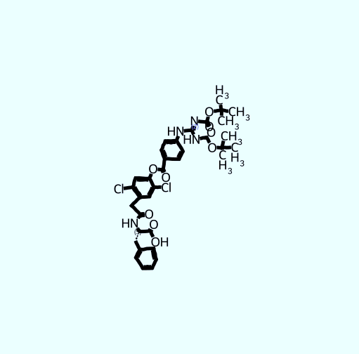 CC(C)(C)OC(=O)/N=C(\NC(=O)OC(C)(C)C)Nc1ccc(C(=O)Oc2cc(Cl)c(CC(=O)N[C@@H](Cc3ccccc3)C(=O)O)cc2Cl)cc1